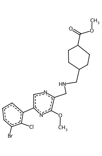 COC(=O)C1CCC(CNCc2ncc(-c3cccc(Br)c3Cl)nc2OC)CC1